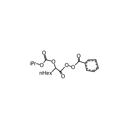 CCCCCCC(OC(=O)OC(C)C)C(=O)OOC(=O)c1ccccc1